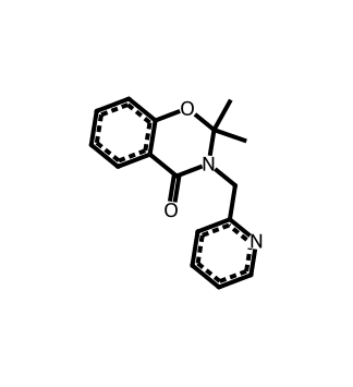 CC1(C)Oc2ccccc2C(=O)N1Cc1ccccn1